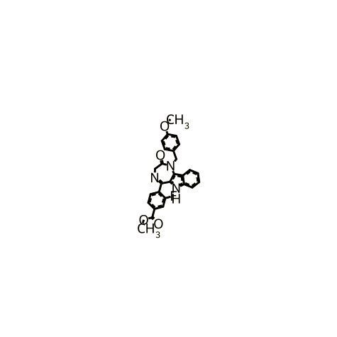 COC(=O)c1ccc(C2=NCC(=O)N(Cc3ccc(OC)cc3)c3c2[nH]c2ccccc32)c(F)c1